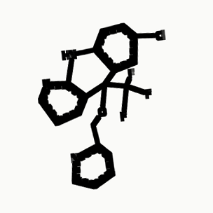 FC(F)(F)C1(OCc2ccccn2)c2cc(Cl)ccc2Nc2ncccc21